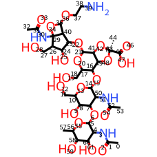 CC(=O)NC1C(OC2C(O)C(CO)OC(OC3C(CO)OC(OC4C(O)C(CO)C5(NC(C)=O)OC(OCCN)C45)C4O[C@@](C)(C(=O)O)OC34)C2NC(C)=O)OC(C)C(O)C1O